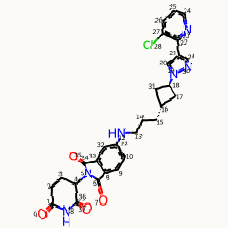 O=C1CCC(N2C(=O)c3ccc(NCCC[C@H]4C[C@H](n5cc(-c6ncccc6Cl)cn5)C4)cc3C2=O)C(=O)N1